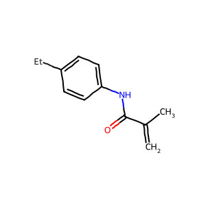 C=C(C)C(=O)Nc1ccc(CC)cc1